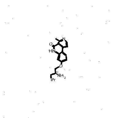 Cc1nccc2c1c(=O)[nH]c1cc(OC[C@@H](N)CC(C)C)ccc12